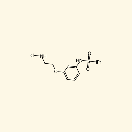 CC(C)S(=O)(=O)Nc1cccc(OCCNCl)c1